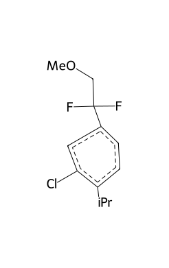 COCC(F)(F)c1ccc(C(C)C)c(Cl)c1